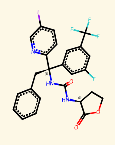 O=C(N[C@H]1CCOC1=O)N[C@@](Cc1ccccc1)(c1cc(F)cc(C(F)(F)F)c1)c1ccc(I)cn1